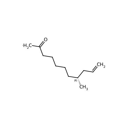 [CH2]C(=O)CCCCC[C@@H](C)CC=C